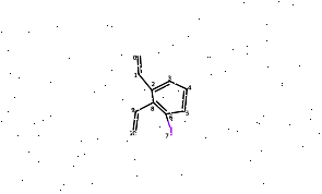 C=Cc1cccc(I)c1C=C